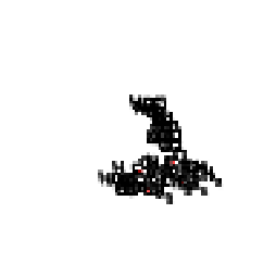 Cc1ccccc1[P+](C)(c1ccccc1C)c1ccccc1C.Cc1ccccc1[P+](C)(c1ccccc1C)c1ccccc1C.[O]=[Mn](=[O])([O-])[Cl].[O]=[Mn](=[O])([O-])[Cl].[O]=[Mn](=[O])([OH])[Cl].[O]=[Mn](=[O])([OH])[Cl]